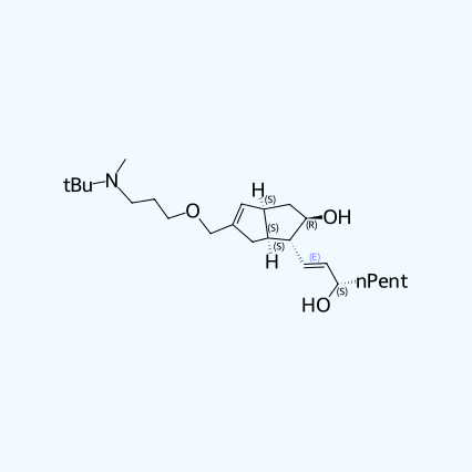 CCCCC[C@H](O)/C=C/[C@@H]1[C@H]2CC(COCCCN(C)C(C)(C)C)=C[C@H]2C[C@H]1O